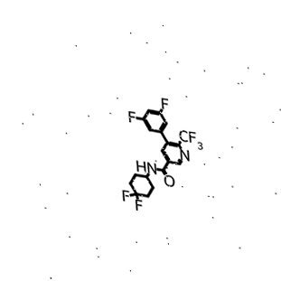 O=C(NC1CCC(F)(F)CC1)c1cnc(C(F)(F)F)c(-c2cc(F)cc(F)c2)c1